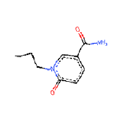 CCCn1cc(C(N)=O)ccc1=O